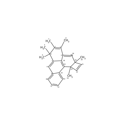 CC1=C(C)C(C)(C)c2cc3ccccc3c3c2C1=NC1(C)C=CC31C